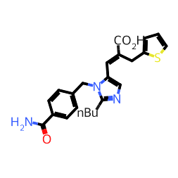 CCCCc1ncc(C=C(Cc2cccs2)C(=O)O)n1Cc1ccc(C(N)=O)cc1